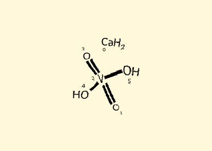 [CaH2].[O]=[V](=[O])([OH])[OH]